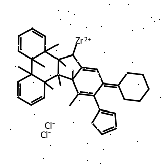 CC1=C(C2=CC=CC2)C(=C2CCCCC2)C=C2[CH]([Zr+2])C3(C)C4(C)C=CC=CC4(C)C4(C)C=CC=CC4(C)C3(C)C21C.[Cl-].[Cl-]